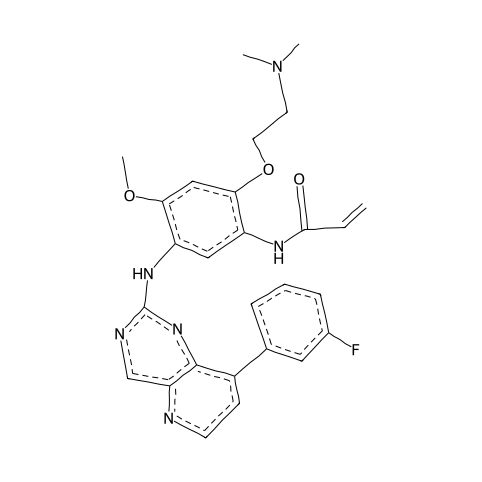 C=CC(=O)Nc1cc(Nc2ncc3nccc(-c4cccc(F)c4)c3n2)c(OC)cc1OCCN(C)C